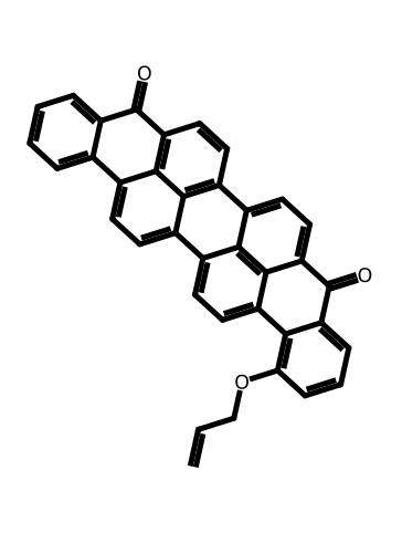 C=CCOc1cccc2c1-c1ccc3c4ccc5c6c(ccc(c7ccc(c1c73)C2=O)c64)C(=O)c1ccccc1-5